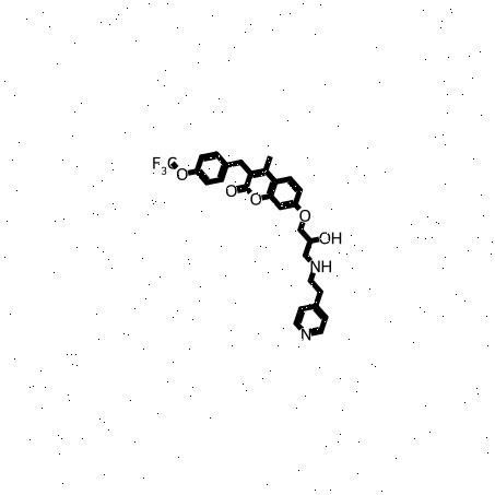 Cc1c(Cc2ccc(OC(F)(F)F)cc2)c(=O)oc2cc(OCC(O)CNCCc3ccncc3)ccc12